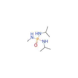 CNP(=O)(NC(C)C)NC(C)C